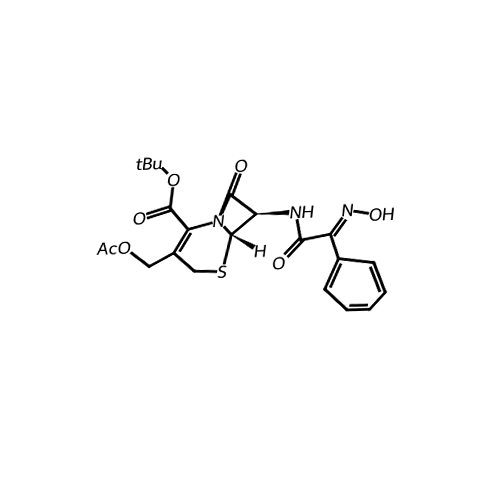 CC(=O)OCC1=C(C(=O)OC(C)(C)C)N2C(=O)[C@@H](NC(=O)C(=NO)c3ccccc3)[C@@H]2SC1